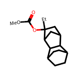 CCC1(OC(=O)OC)CC2CC1C1C3CCC(CC3)C21